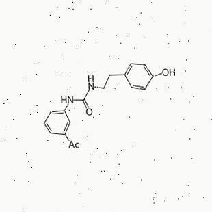 CC(=O)c1cccc(NC(=O)NCCc2ccc(O)cc2)c1